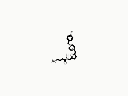 CC(=O)CCCC(=O)NCC1CCC(CN2CCN(Cc3ccc(F)cc3)CC2)O1